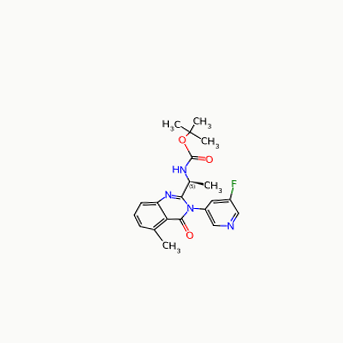 Cc1cccc2nc([C@H](C)NC(=O)OC(C)(C)C)n(-c3cncc(F)c3)c(=O)c12